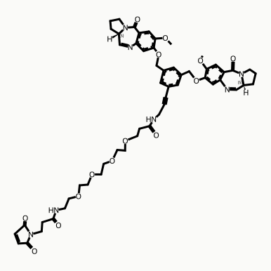 COc1cc2c(cc1OCc1cc(C#CCNC(=O)CCOCCOCCOCCOCCNC(=O)CCN3C(=O)C=CC3=O)cc(COc3cc4c(cc3OC)C(=O)N3CCC[C@H]3C=N4)c1)N=C[C@@H]1CCCN1C2=O